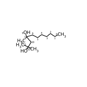 CCCCCCCC(C)(O)CC(C)(C)O